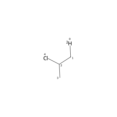 [2H]CC(C)Cl